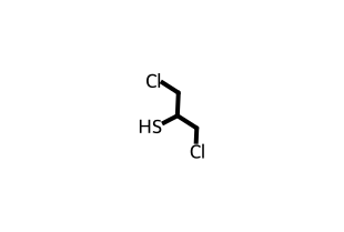 SC(CCl)CCl